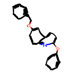 c1ccc(COc2ccc3nc(Oc4ccccc4)ccc3c2)cc1